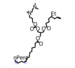 C=CCC(CC)CCCC(=O)OCC(COC(=O)CCCCCCC/C=C\C/C=C\CCCCC)COC(=O)OCCCN(C)CCN(C)C